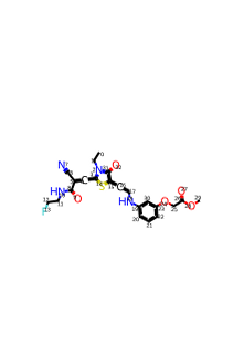 CCn1c(=C=C(C#N)C(=O)NCCF)sc(=C=CNc2cccc(OCC(=O)OC)c2)c1=O